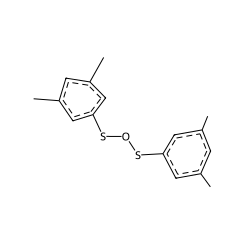 Cc1cc(C)cc(SOSc2cc(C)cc(C)c2)c1